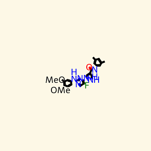 COc1cc(Nc2ncc(F)c(N3C=C(C(=O)Nc4cc(C)cc(C)c4)CN3)n2)cc(OC)c1